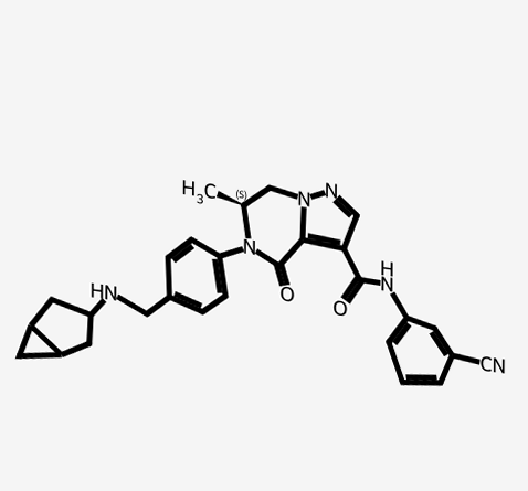 C[C@H]1Cn2ncc(C(=O)Nc3cccc(C#N)c3)c2C(=O)N1c1ccc(CNC2CC3CC3C2)cc1